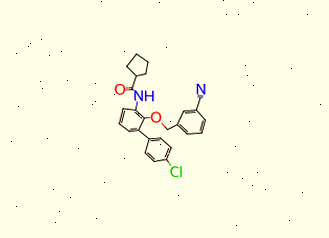 N#Cc1cccc(COc2c(NC(=O)C3CCCC3)cccc2-c2ccc(Cl)cc2)c1